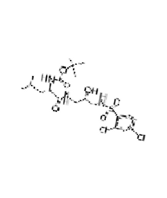 CC(C)C[C@H](NC(=O)OC(C)(C)C)C(=O)NC[C@@H](O)CNS(=O)(=O)c1ccc(Cl)cc1Cl